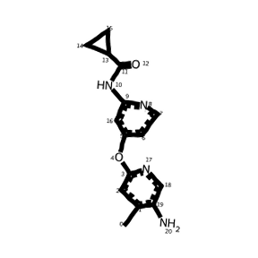 Cc1cc(Oc2ccnc(NC(=O)C3CC3)c2)ncc1N